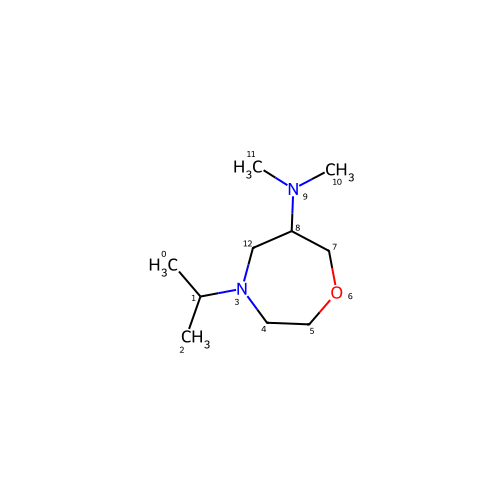 CC(C)N1CCOCC(N(C)C)C1